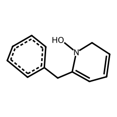 ON1CC=CC=C1Cc1ccccc1